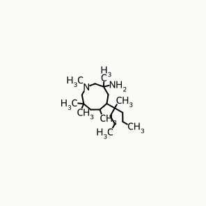 CCCC(C)(CCC)C1CC(C)(N)CN(C)CC(C)(C)CC1C